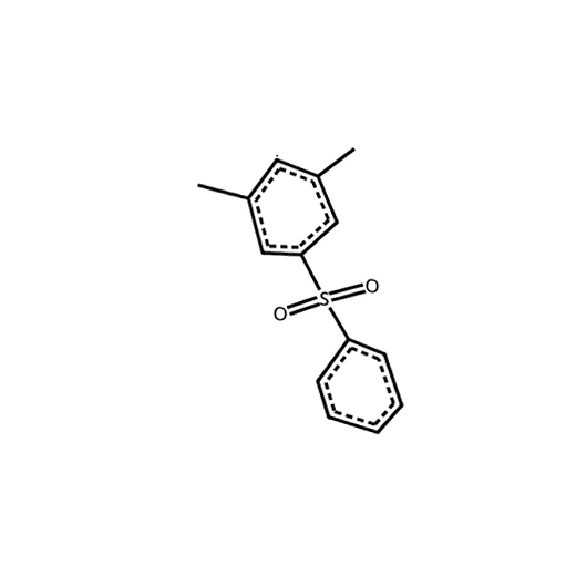 Cc1[c]c(C)cc(S(=O)(=O)c2ccccc2)c1